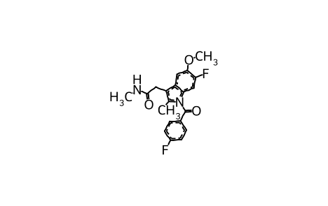 CNC(=O)Cc1c(C)n(C(=O)c2ccc(F)cc2)c2cc(F)c(OC)cc12